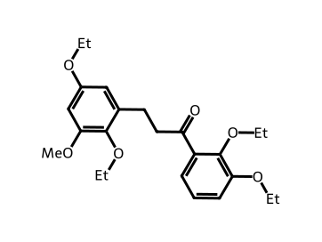 CCOc1cc(CCC(=O)c2cccc(OCC)c2OCC)c(OCC)c(OC)c1